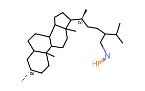 CC(C)C(CC[C@H](C)C1CCC2C3CCC4C[C@@H](C)CCC4(C)C3CCC21C)CN=P